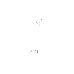 CO[Si](OC)(OC)C(C)CCCCCCCCCN